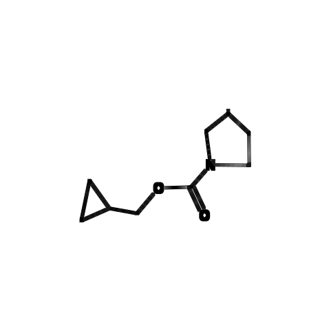 O=C(OCC1CC1)N1C[CH]CC1